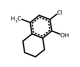 Cc1cc(Cl)c(O)c2c1CCCC2